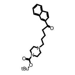 CC(C)(C)OC(=O)N1CCN(CCCCC(=O)c2ccc3ccccc3c2)CC1